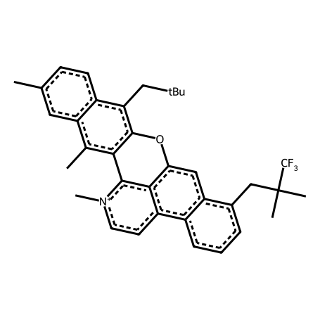 Cc1ccc2c(CC(C)(C)C)c3c(c(C)c2c1)-c1c2c(cc4c(CC(C)(C)C(F)(F)F)cccc4c2cc[n+]1C)O3